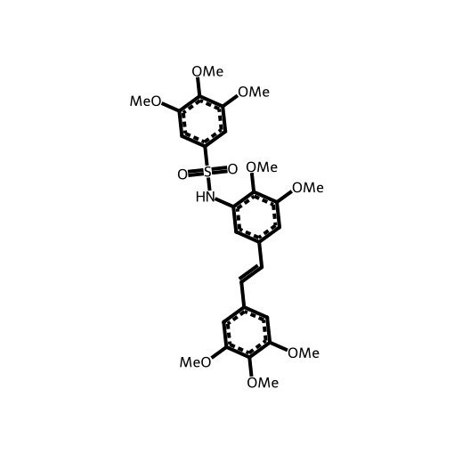 COc1cc(C=Cc2cc(OC)c(OC)c(OC)c2)cc(NS(=O)(=O)c2cc(OC)c(OC)c(OC)c2)c1OC